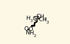 C[Si](C)(C)CCC=COC(N)=O